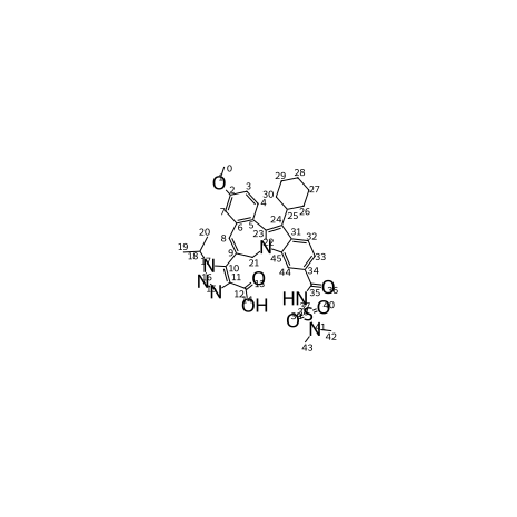 COc1ccc2c(c1)C=C(c1c(C(=O)O)nnn1C(C)C)Cn1c-2c(C2CCCCC2)c2ccc(C(=O)NS(=O)(=O)N(C)C)cc21